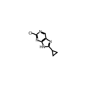 Clc1ncc2nc(C3CC3)[nH]c2n1